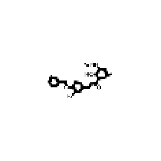 CC(=O)Nc1cc(C)cc(C(=O)/C=C/c2ccc(OCc3ccccc3)c(Br)c2)c1O